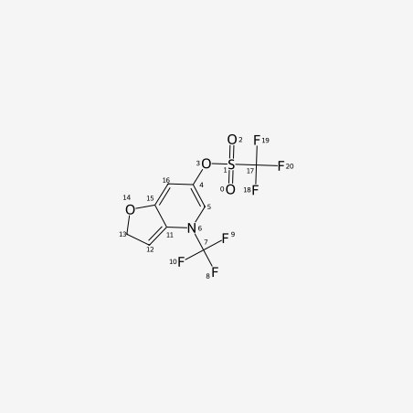 O=S(=O)(OC1=CN(C(F)(F)F)C2=CCOC2=C1)C(F)(F)F